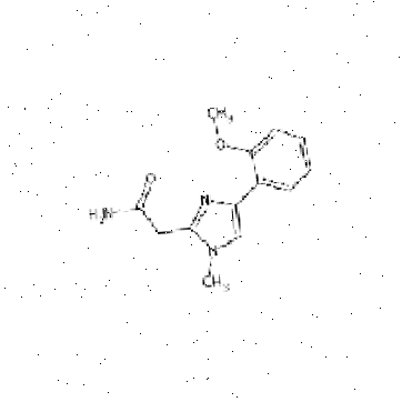 COc1ccccc1-c1cn(C)c(CC(N)=O)n1